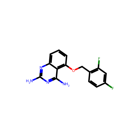 Nc1nc(N)c2c(OCc3ccc(F)cc3F)cccc2n1